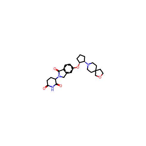 O=C1CCC(N2Cc3cc(O[C@H]4CCC[C@H]4N4CCC5(CCOC5)CC4)ccc3C2=O)C(=O)N1